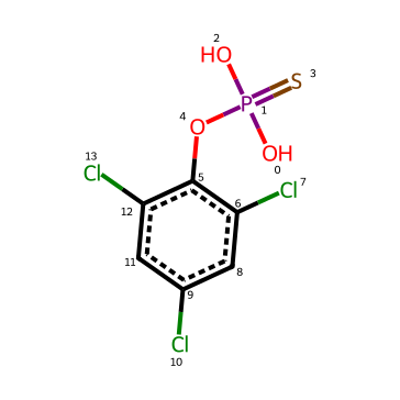 OP(O)(=S)Oc1c(Cl)cc(Cl)cc1Cl